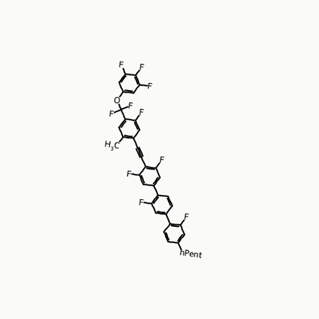 CCCCCc1ccc(-c2ccc(-c3cc(F)c(C#Cc4cc(F)c(C(F)(F)Oc5cc(F)c(F)c(F)c5)cc4C)c(F)c3)c(F)c2)c(F)c1